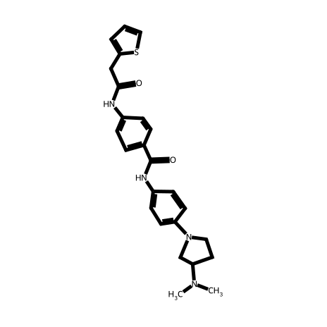 CN(C)C1CCN(c2ccc(NC(=O)c3ccc(NC(=O)Cc4cccs4)cc3)cc2)C1